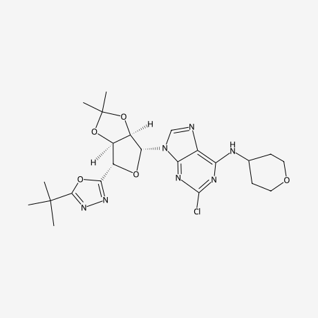 CC1(C)O[C@@H]2[C@H](O1)[C@@H](c1nnc(C(C)(C)C)o1)O[C@H]2n1cnc2c(NC3CCOCC3)nc(Cl)nc21